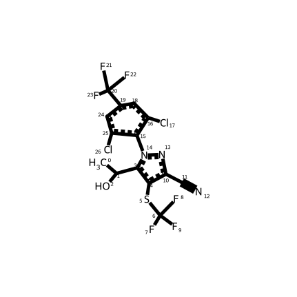 CC(O)c1c(SC(F)(F)F)c(C#N)nn1-c1c(Cl)cc(C(F)(F)F)cc1Cl